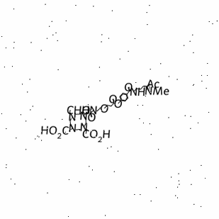 CN[C@@H](CCCNC(=O)c1ccc(OC(=O)CCOCCNC(=O)CN2CCN(CC=O)CCN(CC(=O)O)CCN(CC(=O)O)CC2)cc1)C(C)=O